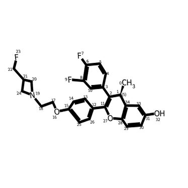 C[C@@H]1C(c2ccc(F)c(F)c2)=C(c2ccc(OCCN3CC(CF)C3)cc2)Oc2ccc(O)cc21